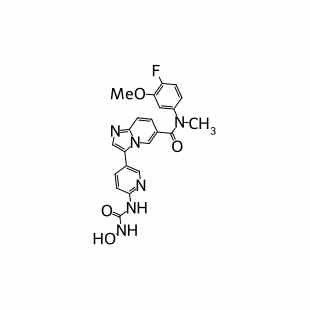 COc1cc(N(C)C(=O)c2ccc3ncc(-c4ccc(NC(=O)NO)nc4)n3c2)ccc1F